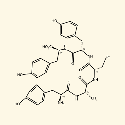 CC(C)C[C@H](NC(=O)[C@H](C)NC(=O)[C@@H](N)Cc1ccc(O)cc1)C(=O)N[C@@H](Cc1ccc(O)cc1)C(=O)N[C@@H](Cc1ccc(O)cc1)C(=O)O